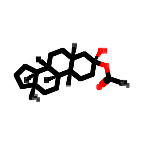 CC(=O)O[C@@]1(O)CC[C@H]2[C@H](CC[C@@H]3[C@@H]2CC[C@]2(C)CCC[C@@H]32)C1